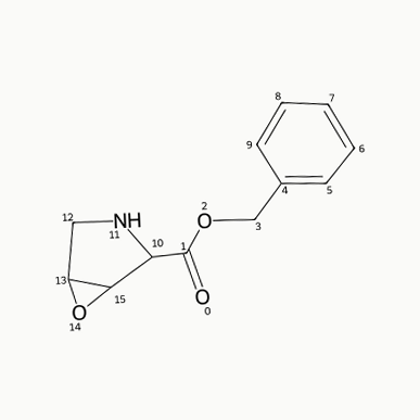 O=C(OCc1ccccc1)C1NCC2OC21